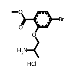 COC(=O)c1ccc(Br)cc1OCC(C)N.Cl